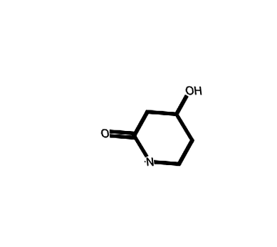 O=C1CC(O)CC[N]1